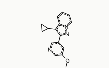 COc1cncc(-c2nn3ccccc3c2C2CC2)c1